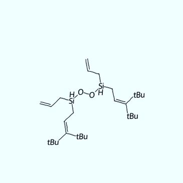 C=CC[SiH](CC=C(C(C)(C)C)C(C)(C)C)OO[SiH](CC=C)CC=C(C(C)(C)C)C(C)(C)C